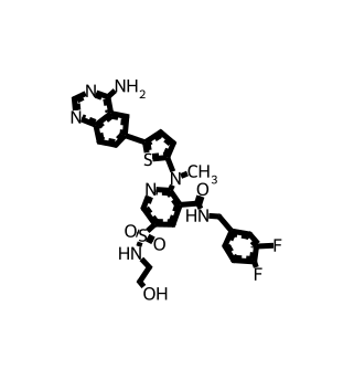 CN(c1ccc(-c2ccc3ncnc(N)c3c2)s1)c1ncc(S(=O)(=O)NCCO)cc1C(=O)NCc1ccc(F)c(F)c1